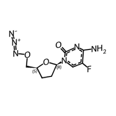 [N-]=[N+]=NOC[C@@H]1CC[C@H](n2cc(F)c(N)nc2=O)O1